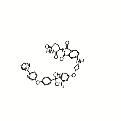 CC(C)(c1ccc(Oc2ccc(-n3cccn3)nc2)cc1)c1ccc(O[C@H]2C[C@H](Nc3ccc4c(c3)C(=O)N(C3CCC(=O)NC3=O)C4=O)C2)cc1